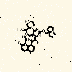 C#Cc1c(F)ccc2cccc(-c3nc4c5c(nc(OCC67CCCN6CCC7)nc5c3F)N3CCNCC3C(C)O4)c12